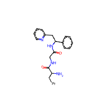 CC(C)CC(N)C(=O)NCC(=O)NC(Cc1ccccn1)c1ccccc1